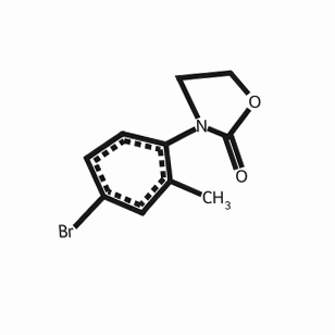 Cc1cc(Br)ccc1N1CCOC1=O